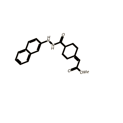 COC(=O)C=C1CCC(C(=O)NNc2ccc3ccccc3c2)CC1